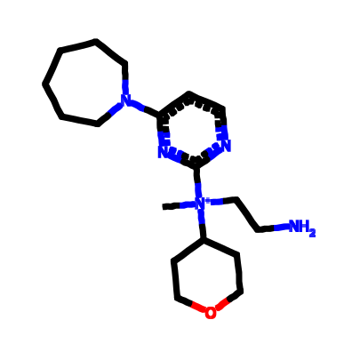 C[N+](CCN)(c1nccc(N2CCCCCC2)n1)C1CCOCC1